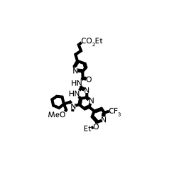 CCOC(=O)CCCc1ccc(C(=O)Nc2nc3nc(-c4cc(OCC)nc(C(F)(F)F)c4)cc(N(C)CC4(COC)CCCCC4)c3[nH]2)nc1